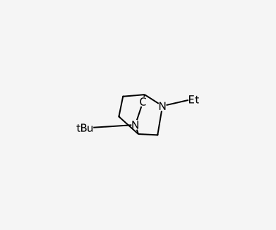 CCN1CC2CCC1CN2C(C)(C)C